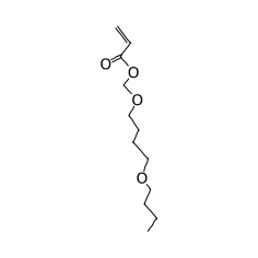 C=CC(=O)OCOCCCCOCCCC